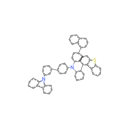 c1cc(-c2ccc(N(c3ccc(-c4cccc5ccccc45)cc3)c3ccccc3-c3cccc4sc5ccccc5c34)cc2)cc(-n2c3ccccc3c3ccccc32)c1